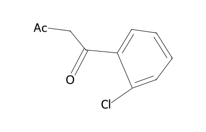 CC(=O)CC(=O)c1ccccc1Cl